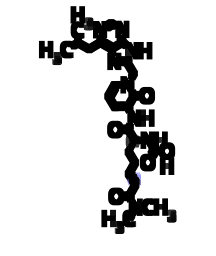 CC(C)Cc1ncnc2[nH]c(Cn3cccc(NC(=O)[C@H](CC/C=C/C(=O)N(C)C)NC(=O)O)c3=O)nc12